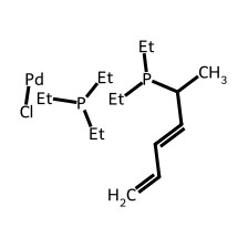 C=C/C=C/C(C)P(CC)CC.CCP(CC)CC.[Cl][Pd]